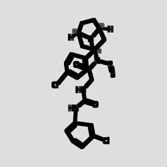 O=C(NCC(=O)N(P=S)[C@H]1C[C@H]2CC[C@@H](C1)N2Cc1ccc(Cl)cc1)Nc1cccc(Cl)c1